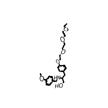 CCOCCOCCOCCOc1ccc(CC(CO)NCc2ccc(OC)cc2)cc1